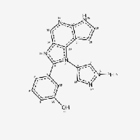 [2H]n1cc(-n2c(-c3cccc(O)c3)nc3cnc4[nH]ccc4c32)cn1